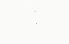 CC(C)N1[C]N(C2CCCCC2)C=C1